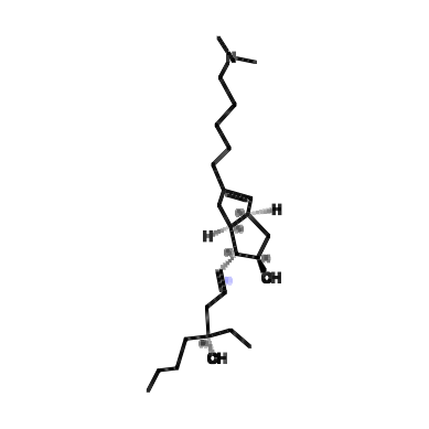 CCCC[C@](O)(CC)C/C=C/[C@@H]1[C@H]2CC(CCCCCN(C)C)=C[C@H]2C[C@H]1O